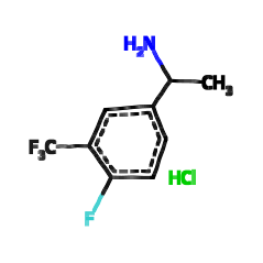 CC(N)c1ccc(F)c(C(F)(F)F)c1.Cl